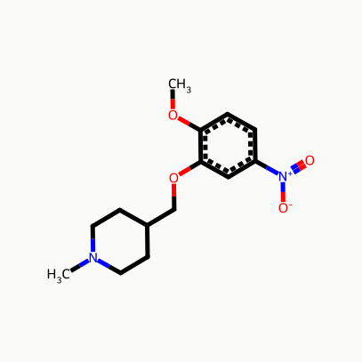 COc1ccc([N+](=O)[O-])cc1OCC1CCN(C)CC1